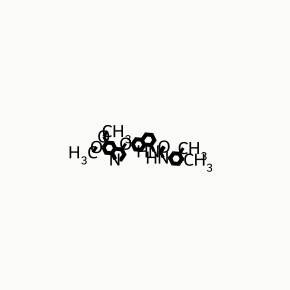 COc1cc2nccc(Oc3ccc4c(NC(=O)Nc5ccc(C)c(C)c5)cccc4c3)c2cc1OC